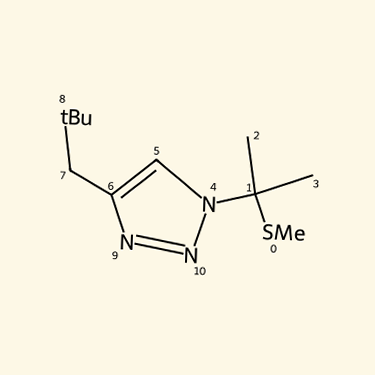 CSC(C)(C)n1cc(CC(C)(C)C)nn1